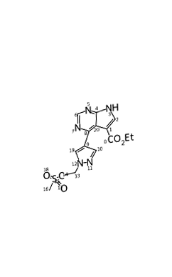 CCOC(=O)c1c[nH]c2ncnc(-c3cnn(CCS(C)(=O)=O)c3)c12